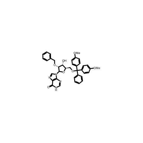 COc1ccc(C(OC[C@H]2OC(n3cnc4c(=O)[nH]cnc43)[C@H](OCc3ccccc3)[C@@H]2O)(c2ccccc2)c2ccc(OC)cc2)cc1